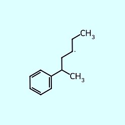 CC[CH]CC(C)c1ccccc1